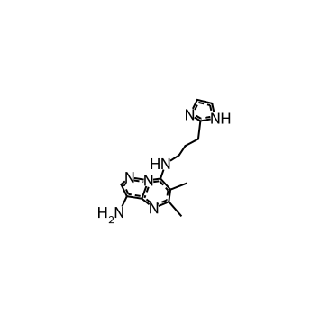 Cc1nc2c(N)cnn2c(NCCCc2ncc[nH]2)c1C